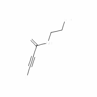 CCCCCCNC(=O)C#CBr